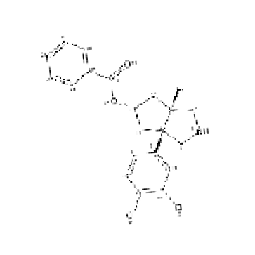 C[C@@]12CNC[C@]1(c1ccc(Cl)c(Cl)c1)C[C@H](OC(=O)c1ccccc1)C2